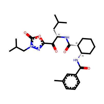 Cc1cccc(C(=O)N[C@H]2CCCC[C@H]2C(=O)N[C@@H](CC(C)C)C(=O)c2nn(CC(C)C)c(=O)o2)c1